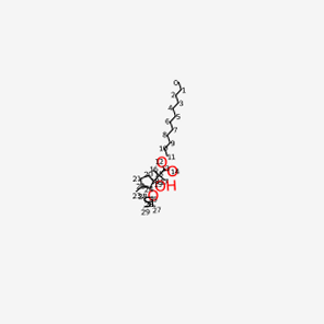 CCCCCCCCCCCCOC(=O)C(C)(C)C1(O)CCC(C)=C1O[Si](C)(C)C